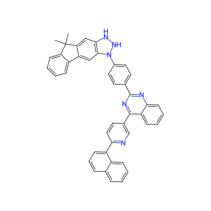 CC1(C)c2ccccc2-c2cc3c(cc21)NNN3c1ccc(-c2nc(-c3ccc(-c4cccc5ccccc45)nc3)c3ccccc3n2)cc1